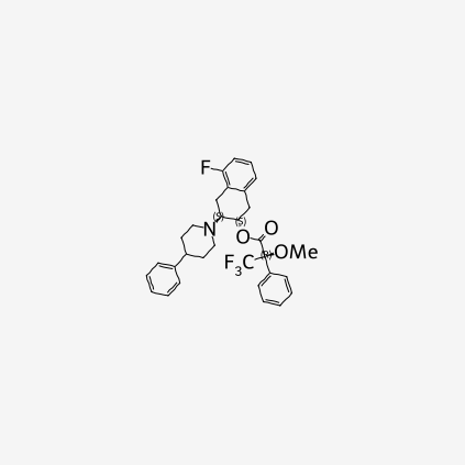 CO[C@@](C(=O)O[C@H]1Cc2cccc(F)c2C[C@@H]1N1CCC(c2ccccc2)CC1)(c1ccccc1)C(F)(F)F